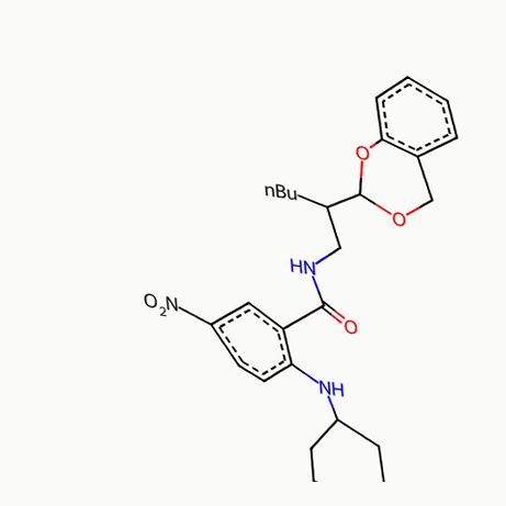 CCCCC(CNC(=O)c1cc([N+](=O)[O-])ccc1NC1CCNCC1)C1OCc2ccccc2O1